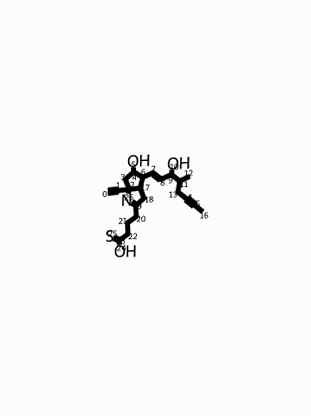 C#CC12CC(O)C(C=CC(O)C(C)CC#CC)C1CC(CCCC(O)=S)=N2